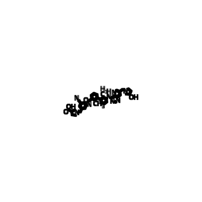 Cc1c(Nc2ncnc3cc(CN4CCC(O)C4)cnc23)cccc1-c1cccc(-c2nc3cc(CN4CCC(C(=O)O)C4)cc(C#N)c3o2)c1C